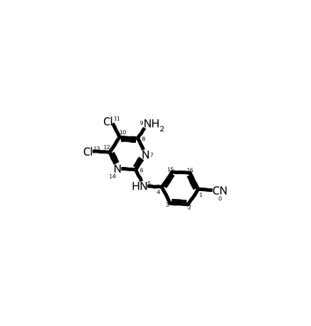 N#Cc1ccc(Nc2nc(N)c(Cl)c(Cl)n2)cc1